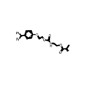 C=C(C)C(=O)OCCNC(=O)OCCOc1ccc(C(C(C)C)C(C)C)cc1